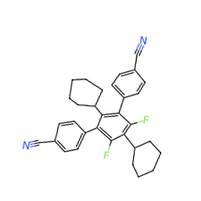 N#Cc1ccc(-c2c(F)c(C3CCCCC3)c(F)c(-c3ccc(C#N)cc3)c2C2CCCCC2)cc1